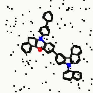 c1ccc(-c2ccc(N3c4ccc(-c5ccc6c(c5)c5c7ccccc7ccc5n6-c5cccc6ccccc56)cc4Oc4c3ccc3ccccc43)cc2)cc1